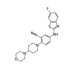 N#Cc1cc(Nc2nc3ccc(F)cc3s2)ccc1N1CCC(N2CCOCC2)CC1